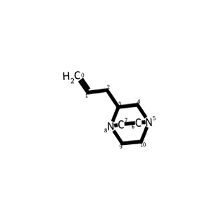 C=CCC1CN2CCN1CC2